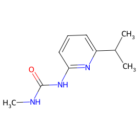 CNC(=O)Nc1cccc(C(C)C)n1